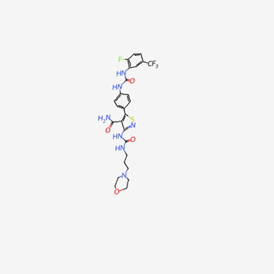 NC(=O)c1c(NC(=O)NCCCN2CCOCC2)nsc1-c1ccc(NC(=O)Nc2cc(C(F)(F)F)ccc2F)cc1